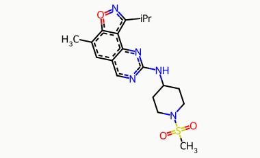 Cc1cc2cnc(NC3CCN(S(C)(=O)=O)CC3)nc2c2c(C(C)C)noc12